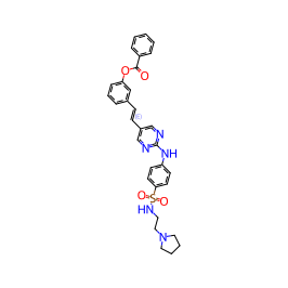 O=C(Oc1cccc(/C=C/c2cnc(Nc3ccc(S(=O)(=O)NCCN4CCCC4)cc3)nc2)c1)c1ccccc1